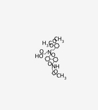 COc1cccc(CCN(CCC(=O)O)C(=O)c2ccccc2-c2ccccc2C(=O)NCc2ccc(C)o2)c1OC